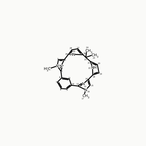 Cn1cc2nc1-c1cccc(c1)-c1nc(cn1C)-c1ccc([nH]1)C(C)(C)c1ccc-2[nH]1